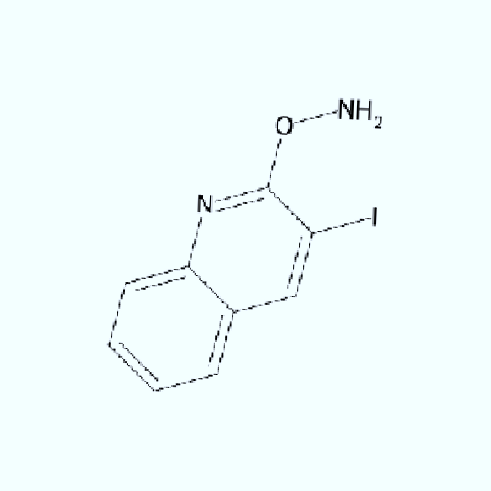 NOc1nc2ccccc2cc1I